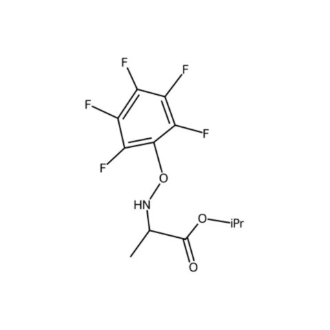 CC(C)OC(=O)C(C)NOc1c(F)c(F)c(F)c(F)c1F